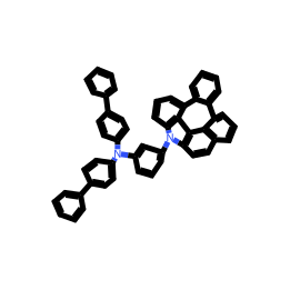 c1ccc(-c2ccc(N(c3ccc(-c4ccccc4)cc3)c3cccc(-n4c5cccc6c5c5c7c(cccc7ccc54)-c4ccccc4-6)c3)cc2)cc1